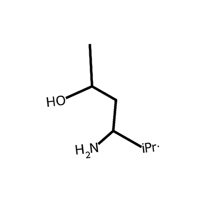 C[C](C)C(N)CC(C)O